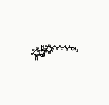 CCCCCCCCc1ccc(C(=O)N[C@H]2CCCNC2=O)cc1